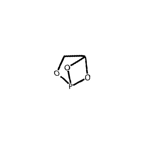 C1OP2OC1O2